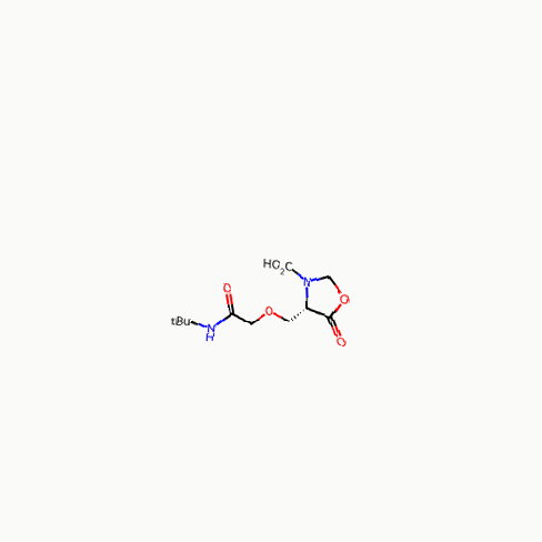 CC(C)(C)NC(=O)COC[C@H]1C(=O)OCN1C(=O)O